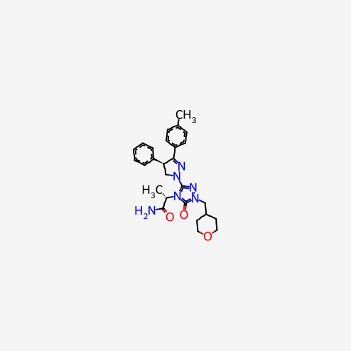 Cc1ccc(C2=NN(c3nn(CC4CCOCC4)c(=O)n3[C@@H](C)C(N)=O)C[C@H]2c2ccccc2)cc1